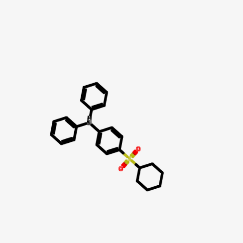 O=S(=O)(c1ccc([SiH](c2ccccc2)c2ccccc2)cc1)C1CCCCC1